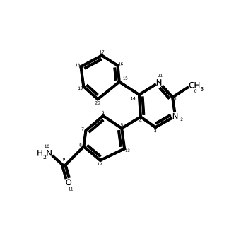 Cc1ncc(-c2ccc(C(N)=O)cc2)c(-c2ccccc2)n1